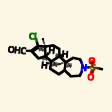 C[C@]12CCN(S(C)(=O)=O)CCC1CC[C@@H]1[C@@H]2CC[C@]2(C)C(Cl)=C(C=O)C[C@@H]12